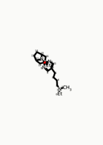 CCN(C)CCCCc1cnc(N2C3CCC2CN(CC)C3)nc1